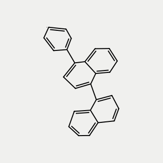 [c]1ccc(-c2ccc(-c3cccc4ccccc34)c3ccccc23)cc1